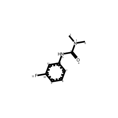 CN(C)C(=O)Nc1cc[c]c(F)c1